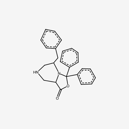 O=C1OC(c2ccccc2)(c2ccccc2)N2C(Cc3ccccc3)CNCC12